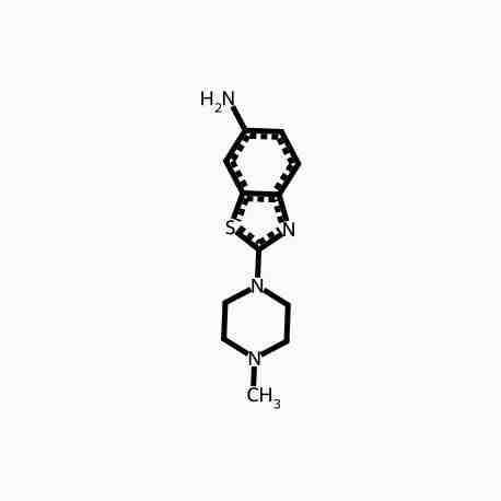 CN1CCN(c2nc3ccc(N)cc3s2)CC1